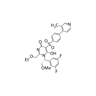 CCOCc1nc(=O)c(S(=O)(=O)c2ccc(-c3ccncc3C)cc2)c(O)n1[C@@H](COC)c1cc(F)cc(F)c1